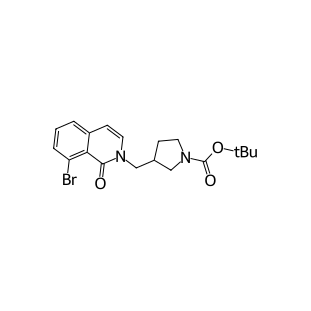 CC(C)(C)OC(=O)N1CCC(Cn2ccc3cccc(Br)c3c2=O)C1